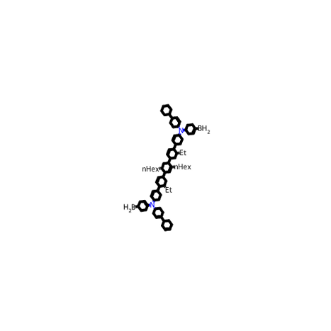 BC1=CCC(N(C2C=CC(C3CCCCC3)CC2)C2C=CC(C3C=CC(C4CC(CCCCCC)C(C5C=CC(C6C=CC(N(C7=CCC(B)CC7)C7CC=C(C8CC=CCC8)CC7)CC6)C(CC)C5)C=C4CCCCCC)CC3CC)CC2)CC1